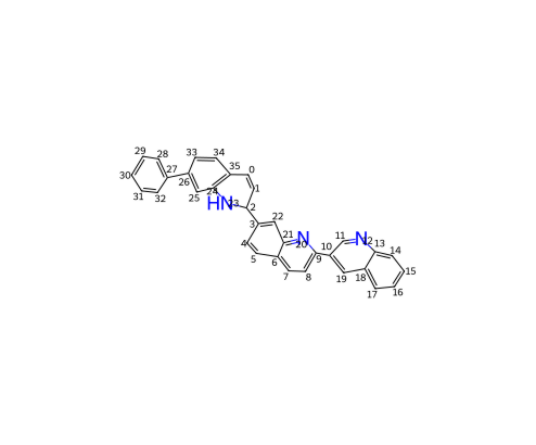 C1=CC(c2ccc3ccc(-c4cnc5ccccc5c4)nc3c2)Nc2cc(-c3ccccc3)ccc21